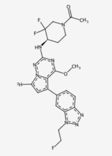 [2H]c1cc(-c2ccc3nnn(CCF)c3c2)c2c(OC)nc(N[C@@H]3CCN(C(C)=O)CC3(F)F)nn12